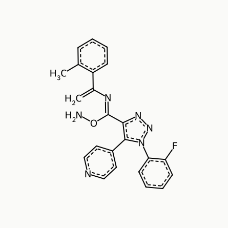 C=C(/N=C(\ON)c1nnn(-c2ccccc2F)c1-c1ccncc1)c1ccccc1C